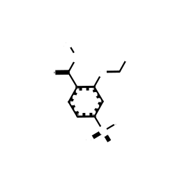 CCOc1cc(S(=O)(=O)Cl)ccc1C(=O)OC